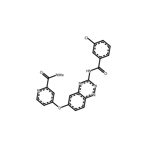 CNC(=O)c1cc(Oc2ccc3nnc(NC(=O)c4cccc(Cl)c4)nc3c2)ccn1